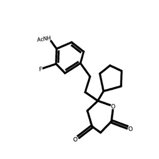 CC(=O)Nc1ccc(CCC2(C3CCCC3)CC(=O)CC(=O)O2)cc1F